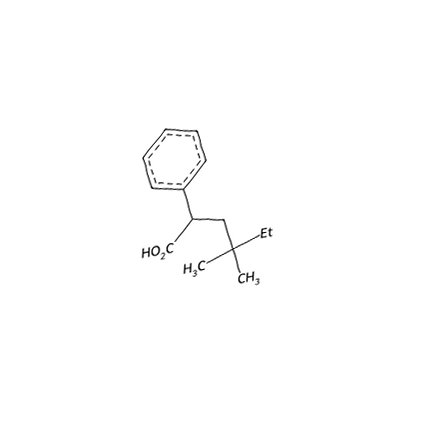 CCC(C)(C)CC(C(=O)O)c1ccccc1